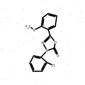 O=c1oc(-c2ccccc2OC(F)(F)F)nn1-c1ccccc1Cl